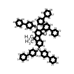 CC1(C)c2cc(N(c3ccc(-c4ccccc4)cc3)c3ccc(-c4ccccc4)cc3)ccc2-c2c1cc(N(c1ccc(-c3ccccc3)cc1)c1ccc(-c3ccccc3)cc1)c1c2oc2c(-c3ccccc3)cccc21